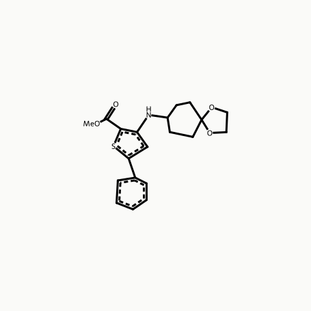 COC(=O)c1sc(-c2ccccc2)cc1NC1CCC2(CC1)OCCO2